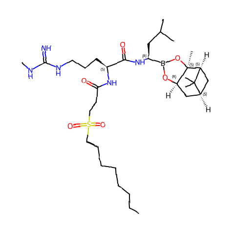 CCCCCCCCS(=O)(=O)CCC(=O)N[C@@H](CCCNC(=N)NC)C(=O)N[C@@H](CC(C)C)B1O[C@@H]2C[C@@H]3C[C@@H](C3(C)C)[C@]2(C)O1